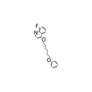 Fc1cccc2c(OCCCCCCOc3ccccc3)ccnc12